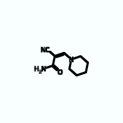 N#C/C(=C/N1CCCCC1)C(N)=O